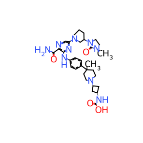 CN1CCN(C2CCCN(c3cnc(C(N)=O)c(Nc4ccc(C5(C)CCN([C@H]6C[C@@H](NC(=O)O)C6)CC5)cc4)n3)C2)C1=O